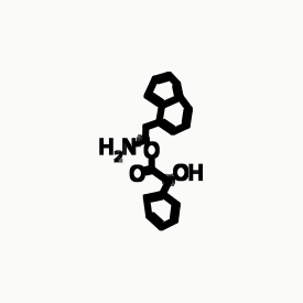 N[C@@H](Cc1cccc2ccccc12)OC(=O)[C@H](O)c1ccccc1